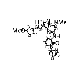 CNc1cc(Nc2cccn(-c3ncco3)c2=O)nc2c(CNC3CC[C@@H](OC)C3)cnn12